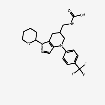 O=C(O)NCC1Cc2c(cnn2C2CCCCO2)N(c2ccc(C(F)(F)F)cc2)C1